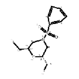 O=S(=O)(c1ccccc1)N1C[C@H](CI)O[C@@H](CI)C1